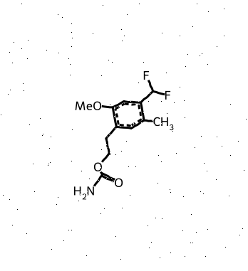 COc1cc(C(F)F)c(C)cc1CCOC(N)=O